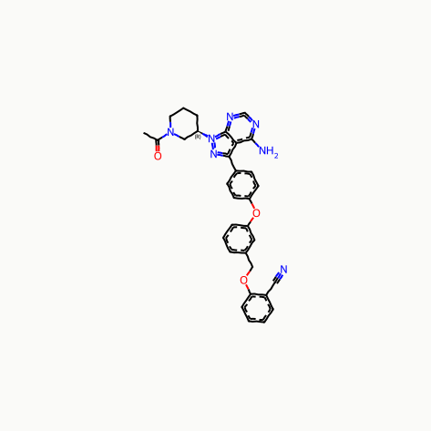 CC(=O)N1CCC[C@@H](n2nc(-c3ccc(Oc4cccc(COc5ccccc5C#N)c4)cc3)c3c(N)ncnc32)C1